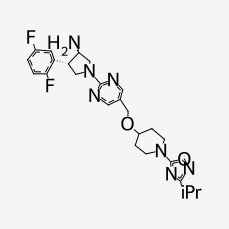 CC(C)c1noc(N2CCC(OCc3cnc(N4C[C@H](c5cc(F)ccc5F)[C@@H](N)C4)nc3)CC2)n1